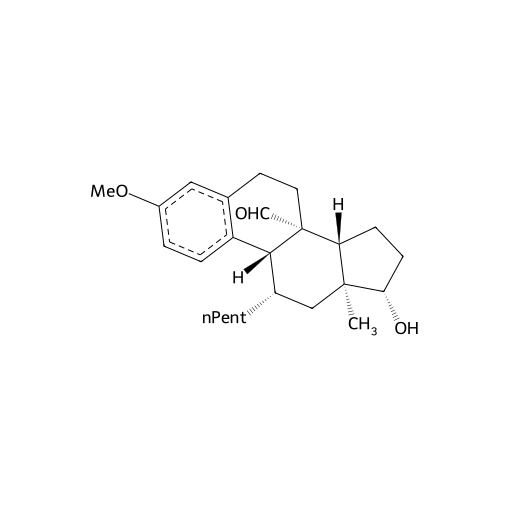 CCCCC[C@H]1C[C@@]2(C)[C@@H](CC[C@@H]2O)[C@]2(C=O)CCc3cc(OC)ccc3[C@@H]12